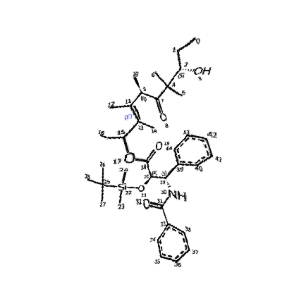 CC[C@H](O)C(C)(C)C(=O)[C@H](C)/C(C)=C(\C)C(C)OC(=O)[C@H](O[Si](C)(C)C(C)(C)C)[C@@H](NC(=O)c1ccccc1)c1ccccc1